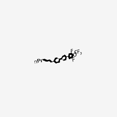 CCC/C=C/CC[C@H]1CC[C@H]([C@H]2CC[C@H](c3cc(F)c(OC(F)(F)F)c(F)c3)CC2)CC1